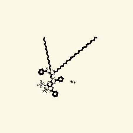 CCCCCCCCCCCCCCCCCCCCCCCC(=O)NC(=CO[C@@H]1O[C@H](COS(=O)(=O)[O-])[C@H](OS(=O)(=O)[O-])[C@H](OC(=O)c2ccccc2)[C@@H]1OC(=O)c1ccccc1)[C@@H](CCCCCCCCCCCCCCC)OC(=O)c1ccccc1.[Na+].[Na+]